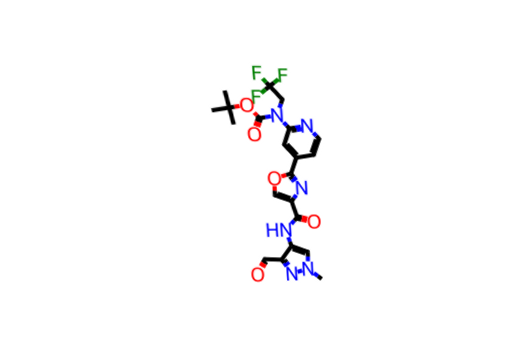 Cn1cc(NC(=O)c2coc(-c3ccnc(N(CC(F)(F)F)C(=O)OC(C)(C)C)c3)n2)c(C=O)n1